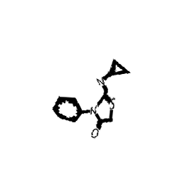 O=C1CSC(=NC2CC2)N1c1ccccc1